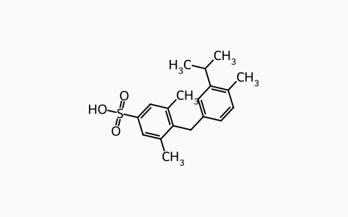 Cc1ccc(Cc2c(C)cc(S(=O)(=O)O)cc2C)cc1C(C)C